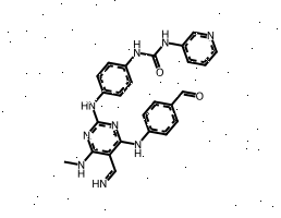 CNc1nc(Nc2ccc(NC(=O)Nc3cccnc3)cc2)nc(Nc2ccc(C=O)cc2)c1C=N